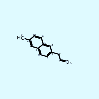 O=CCc1ccc2cc(O)ccc2c1